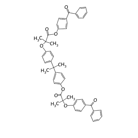 CC(C)(Oc1ccc(C(=O)c2ccccc2)cc1)C(=O)Oc1ccc(C(C)(C)c2ccc(OC(C)(C)C(=O)Oc3ccc(C(=O)c4ccccc4)cc3)cc2)cc1